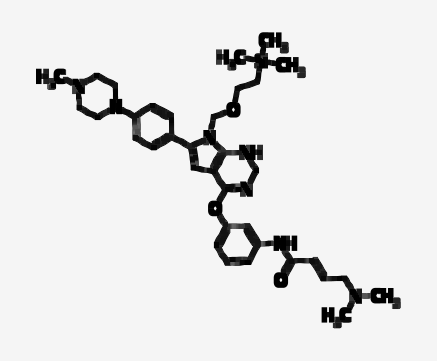 CN(C)CC=CC(=O)Nc1cccc(OC2=NCNc3c2cc(-c2ccc(N4CCN(C)CC4)cc2)n3COCC[Si](C)(C)C)c1